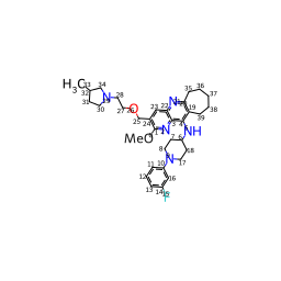 COc1nc2c(NC3CCN(c4cccc(F)c4)CC3)c3c(nc2cc1COCCN1CCC(C)C1)CCCCC3